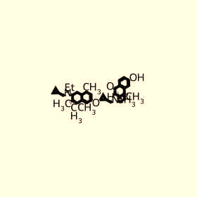 CCN(CC1CC1)C1CC2C(=CC(OC3CC3CN3CC[C@@]4(C)c5cc(O)ccc5C(=O)[C@@H]3C4C)=CC2C)C(C)(C)[C@H]1C